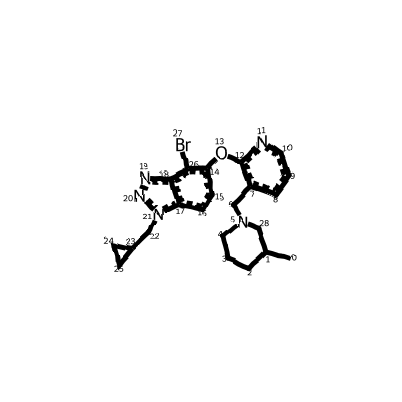 CC1CCCN(Cc2cccnc2Oc2ccc3c(nnn3CC3CC3)c2Br)C1